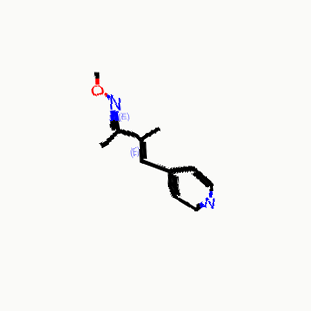 CO/N=C(C)/C(C)=C/c1ccncc1